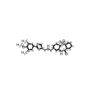 COc1c(C)cc(-c2ncc(CNCc3ccc4c(c3)NC(=O)c3ccccc3S4(=O)=O)s2)cc1C